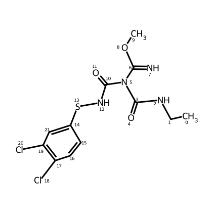 CCNC(=O)N(C(=N)OC)C(=O)NSc1ccc(Cl)c(Cl)c1